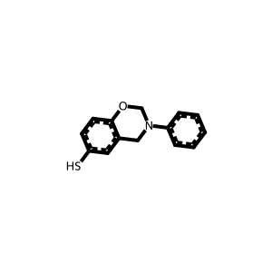 Sc1ccc2c(c1)CN(c1ccccc1)CO2